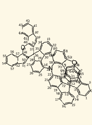 c1ccc2c(c1)-c1ccccc1C21c2ccccc2-c2ccc(N(c3cccc4c3-c3ccccc3C43c4ccc5ccccc5c4Oc4c3ccc3ccccc43)c3cccc4oc5ccccc5c34)cc21